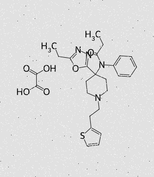 CCC(=O)N(c1ccccc1)C1(c2nnc(CC)o2)CCN(CCc2cccs2)CC1.O=C(O)C(=O)O